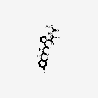 COC(=O)N[C@H](C(=O)N1CCCC1C(=O)NC(=O)Nc1ccc(Br)cc1F)C(C)C